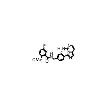 COc1ccc(F)cc1C(=O)NCc1ccc(-c2ncc3ccnc(N)n23)cc1